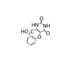 O=C(O)c1[nH]c(=O)[nH]c(=O)c1Oc1ccccc1